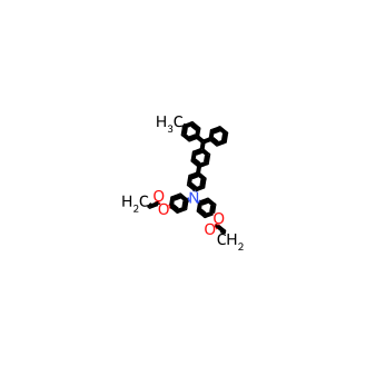 C=CC(=O)Oc1ccc(N(c2ccc(OC(=O)C=C)cc2)c2ccc(-c3ccc(C(c4ccccc4)c4ccc(C)cc4)cc3)cc2)cc1